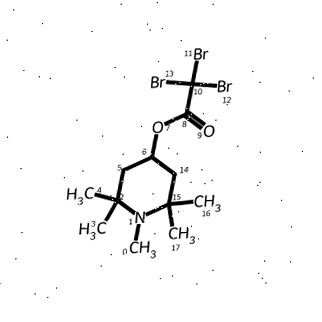 CN1C(C)(C)CC(OC(=O)C(Br)(Br)Br)CC1(C)C